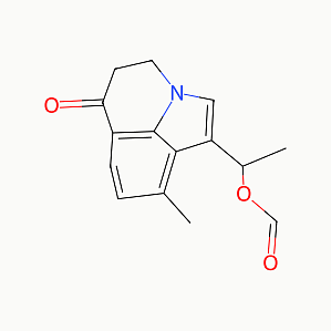 Cc1ccc2c3c1c(C(C)OC=O)cn3CCC2=O